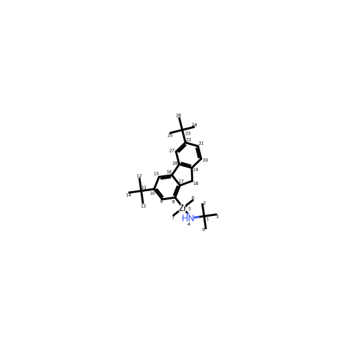 CC(C)(C)[NH][Zr]([CH3])([CH3])[c]1cc(C(C)(C)C)cc2c1Cc1ccc(C(C)(C)C)cc1-2